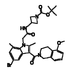 COc1cccc2c1CCN(C(=O)c1c(C)n(CC(=O)NC3CN(C(=O)OC(C)(C)C)C3)c3c(C)cc(Br)cc13)C2